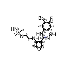 CS(C)(=N)=NCCNc1nonc1/C(=N/O)Nc1ccc(F)c(Br)c1